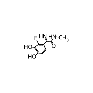 CNC(=O)C(=N)c1ccc(O)c(O)c1F